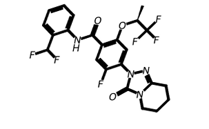 C[C@H](Oc1cc(-n2nc3n(c2=O)CCCC3)c(F)cc1C(=O)Nc1ccccc1C(F)F)C(F)(F)F